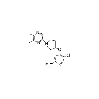 Cc1nnc(N2CCC(Oc3cc(C(F)(F)F)ccc3Cl)CC2)nc1C